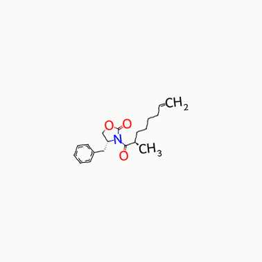 C=CCCCC[C@@H](C)C(=O)N1C(=O)OC[C@H]1Cc1ccccc1